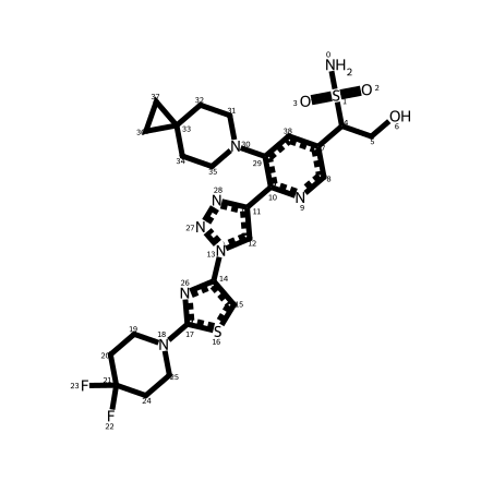 NS(=O)(=O)C(CO)c1cnc(-c2cn(-c3csc(N4CCC(F)(F)CC4)n3)nn2)c(N2CCC3(CC2)CC3)c1